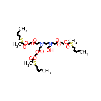 CC/C=C\CCSC(C)C(=O)OCCOC(=O)CCN(CCO)CCCN(CCC(=O)OCCOC(=O)C(C)SCC/C=C\CC)CCC(=O)OCCOC(=O)C(C)SCC/C=C\CC